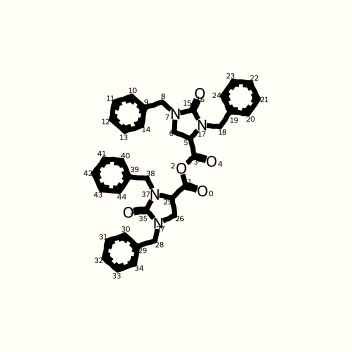 O=C(OC(=O)C1CN(Cc2ccccc2)C(=O)N1Cc1ccccc1)C1CN(Cc2ccccc2)C(=O)N1Cc1ccccc1